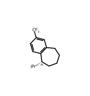 CC(C)[C@H]1CCCCc2cc(C(F)(F)F)ccc21